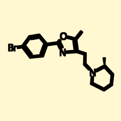 Cc1oc(-c2ccc(Br)cc2)nc1CCN1CCCC[C@@H]1C